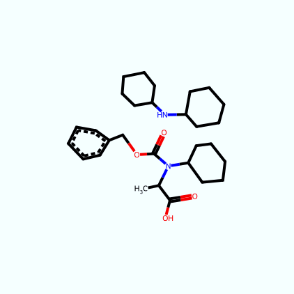 C1CCC(NC2CCCCC2)CC1.CC(C(=O)O)N(C(=O)OCc1ccccc1)C1CCCCC1